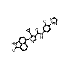 O=C(Nc1ccc(-n2nccn2)c(Cl)c1)c1cnn(-c2ccc3c4c(cccc24)C(=O)N3)c1C1CC1